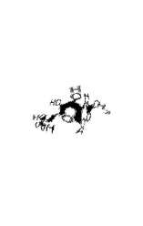 CC(=O)N[C@H]1C(O)O[C@H](CCP(=O)(O)O)[C@@H](O)[C@@H]1O